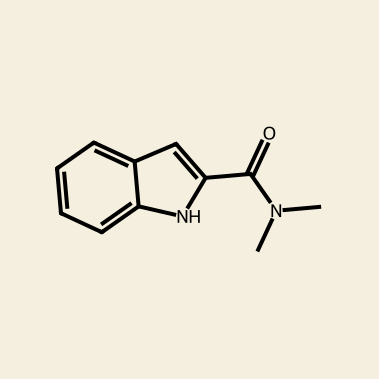 CN(C)C(=O)c1cc2ccccc2[nH]1